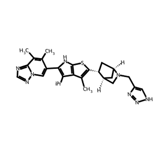 Cc1c(-c2[nH]c3sc([C@@H]4C[C@@H]5C[C@H]4CN5Cc4c[nH]nn4)c(C)c3c2C(C)C)cn2ncnc2c1C